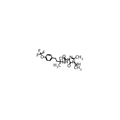 CNn1c(C)nn(C(=O)NC(C)(C)CCc2ccc(OC(F)(F)F)cc2)c1=O